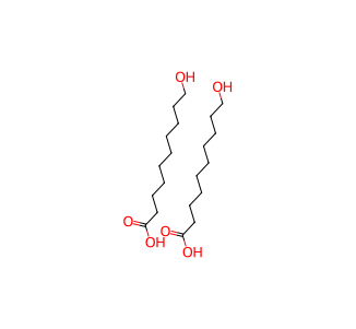 O=C(O)CCCCCCCCCO.O=C(O)CCCCCCCCCO